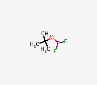 CC(C)(C)OP(F)F